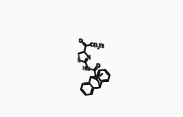 CCOC(=O)C(=O)C1CSC(NC(=O)C2(C)CC3c4ccccc4C2c2ccccc23)=N1